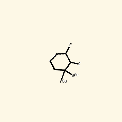 CCCCC1(CCCC)CCCC(F)C1F